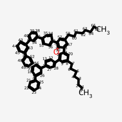 CCCCCCCCc1cc(-c2ccc(-c3cccc(-c4ccccc4)c3)cc2)c2oc3c(-c4ccc(-c5cccc(-c6cccc(-c7ccccc7)c6)c5)cc4)cc(CCCCCCCC)cc3c2c1